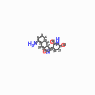 Nc1cccc2cc3c(C4CCC(=O)NC4=O)noc3cc12